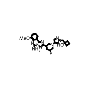 COc1cccc2c1nc(N)n1nc(C3CC(F)CN(c4cnn(CC5(O)CCC5)c4)C3)nc21